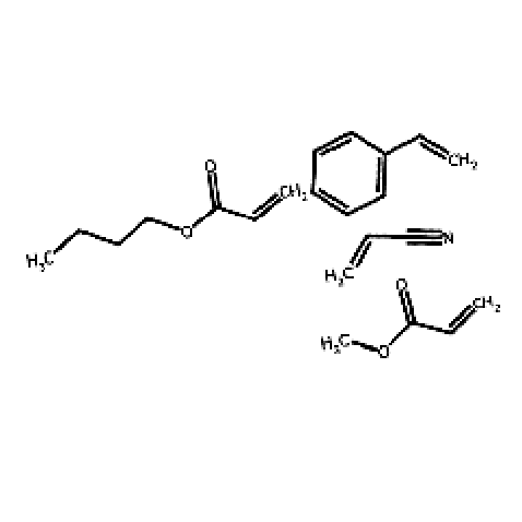 C=CC#N.C=CC(=O)OC.C=CC(=O)OCCCC.C=Cc1ccccc1